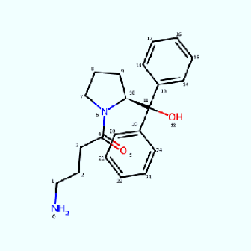 NCCCC(=O)N1CCC[C@H]1C(O)(c1ccccc1)c1ccccc1